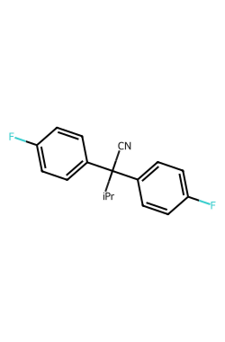 CC(C)C(C#N)(c1ccc(F)cc1)c1ccc(F)cc1